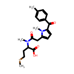 CSCCC(C(=O)O)N(C)C(=O)Cc1ccc(C(=O)c2ccc(C)cc2)n1C